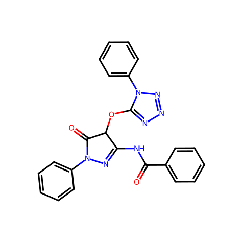 O=C(NC1=NN(c2ccccc2)C(=O)C1Oc1nnnn1-c1ccccc1)c1ccccc1